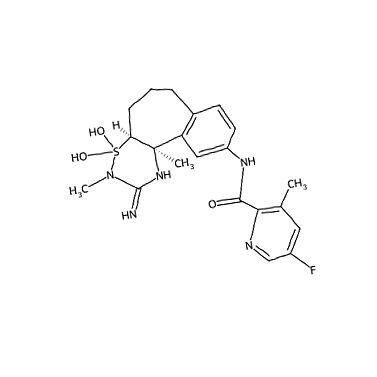 Cc1cc(F)cnc1C(=O)Nc1ccc2c(c1)[C@@]1(C)NC(=N)N(C)S(O)(O)[C@H]1CCC2